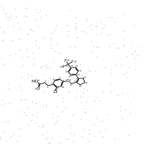 O=C(O)CCc1ccc(OCC2=C(c3ccc(C(F)(F)F)cc3)CCC2)cc1Cl